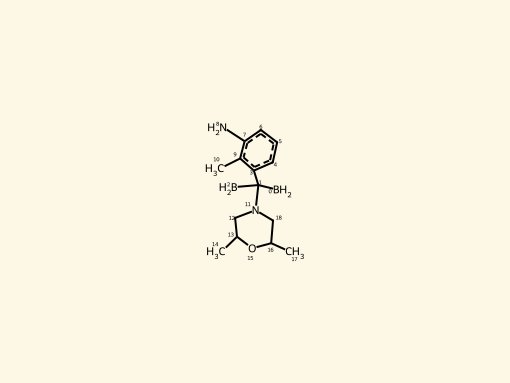 BC(B)(c1cccc(N)c1C)N1CC(C)OC(C)C1